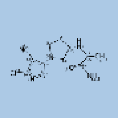 C[C@H](N[C@H]1CCN(c2snc(Cl)c2C#N)C1)C(N)=O